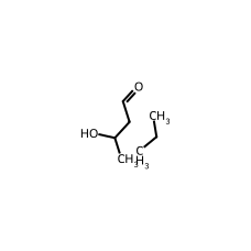 CC(O)CC=O.CCC